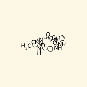 COc1ccccc1NC(=O)Nc1ccc(CC(=O)NC(CC(C)C)c2ccn(CCC(=O)O)n2)cc1